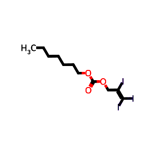 CCCCCCCOC(=O)OCC(I)=C(I)I